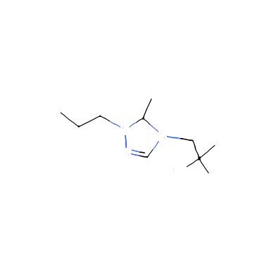 CCCN1N=CN(CC(C)(C)C)C1C